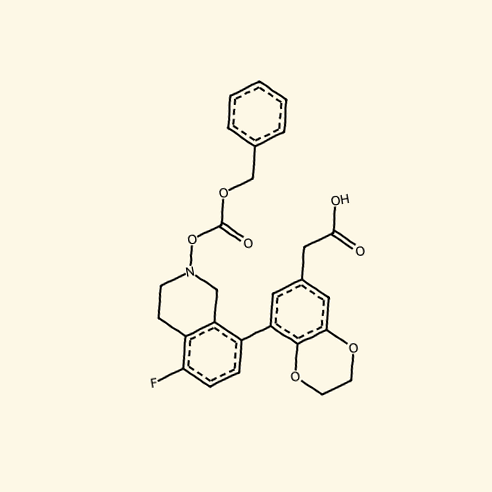 O=C(O)Cc1cc2c(c(-c3ccc(F)c4c3CN(OC(=O)OCc3ccccc3)CC4)c1)OCCO2